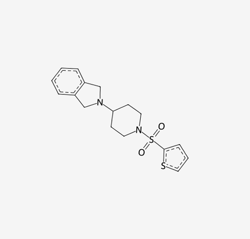 O=S(=O)(c1cccs1)N1CCC(N2Cc3ccccc3C2)CC1